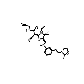 CCn1c(=C(C#N)C(=O)NCC#N)sc(=CNc2cccc(CCN3CCSC3C)c2)c1=O